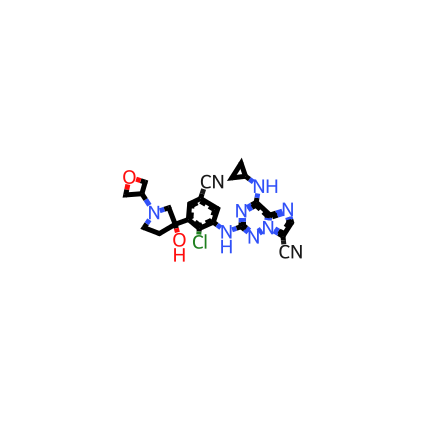 N#Cc1cc(Nc2nc(NC3CC3)c3ncc(C#N)n3n2)c(Cl)c(C2(O)CCN(C3COC3)C2)c1